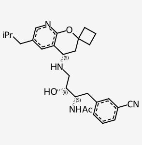 CC(=O)N[C@@H](Cc1cccc(C#N)c1)[C@H](O)CN[C@H]1CC2(CCC2)Oc2ncc(CC(C)C)cc21